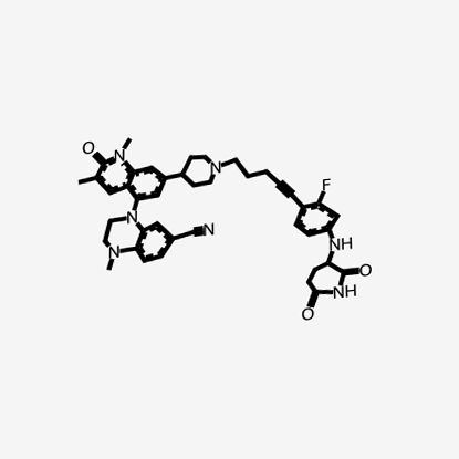 Cc1cc2c(N3CCN(C)c4ccc(C#N)cc43)cc(C3CCN(CCCC#Cc4ccc(NC5CCC(=O)NC5=O)cc4F)CC3)cc2n(C)c1=O